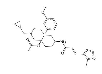 COc1cccc([C@@]23CCN(CC4CC4)C[C@@]2(OC(C)=O)CC[C@H](NC(=O)/C=C/c2ccoc2C)C3)c1